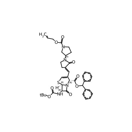 C=CCOC(=O)N1CC[C@@H](N2CCC(=CC3=CS[C@@H]4[C@H](NC(=O)OC(C)(C)C)C(=O)N4[C@H]3C(=O)OC(c3ccccc3)c3ccccc3)C2=O)C1